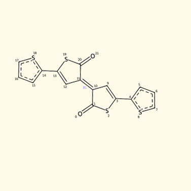 O=C1SC(c2cccs2)=C/C1=C1/C=C(c2cccs2)SC1=O